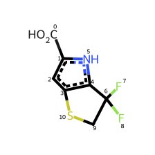 O=C(O)c1cc2c([nH]1)C(F)(F)CS2